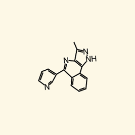 Cc1n[nH]c2c1nc(-c1cccnc1)c1ccccc12